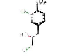 CSc1ccc(CC(O)CCl)cc1Cl